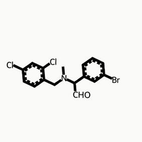 CN(Cc1ccc(Cl)cc1Cl)C(C=O)c1cccc(Br)c1